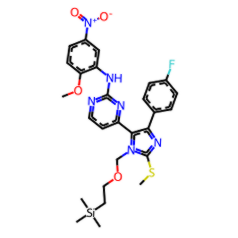 COc1ccc([N+](=O)[O-])cc1Nc1nccc(-c2c(-c3ccc(F)cc3)nc(SC)n2COCC[Si](C)(C)C)n1